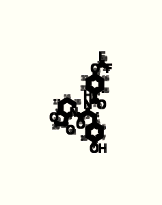 O=C(NC(Cc1ccc(O)cc1)C(=O)N1CCC=C2OCC(=O)C21)c1ccc(OC(F)F)cc1